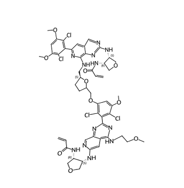 C=CC(=O)N[C@H]1COC[C@H]1Nc1cc2c(NCCOC)nc(-c3c(Cl)c(OC)cc(OCC4CC[C@@H](CNc5nc(-c6c(Cl)c(OC)cc(OC)c6Cl)cc6cnc(N[C@@H]7COC[C@@H]7NC(=O)C=C)nc56)O4)c3Cl)nc2cn1